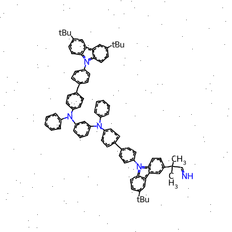 CC(C)(C)c1ccc2c(c1)c1cc(C(C)(C)C)ccc1n2-c1ccc(-c2ccc(N(c3ccccc3)c3cccc(N(c4ccccc4)c4ccc(-c5ccc(-n6c7ccc(C(C)(C)C)cc7c7cc(C(C)(C)C=N)ccc76)cc5)cc4)c3)cc2)cc1